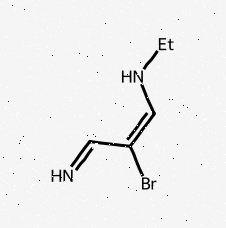 CCN/C=C(/Br)C=N